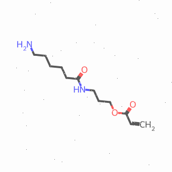 C=CC(=O)OCCCNC(=O)CCCCCN